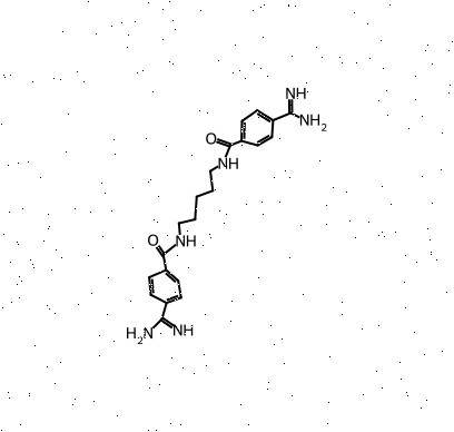 N=C(N)c1ccc(C(=O)NCCCCCNC(=O)c2ccc(C(=N)N)cc2)cc1